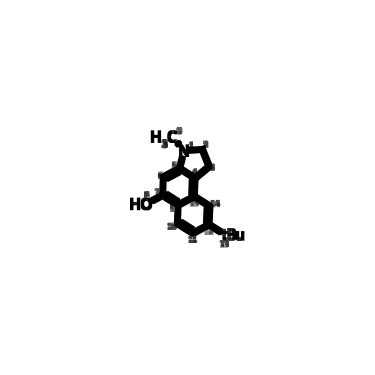 CN1CCc2c1cc(O)c1ccc(C(C)(C)C)cc21